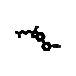 COc1cccc(-c2ccc3c(Br)n(CCCN(C)C)nc3c2)c1